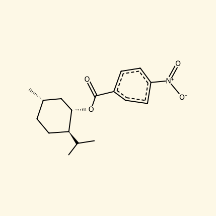 CC(C)[C@H]1CC[C@H](C)C[C@@H]1OC(=O)c1ccc([N+](=O)[O-])cc1